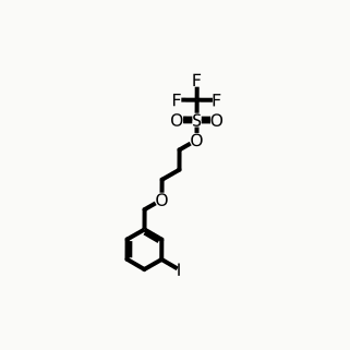 O=S(=O)(OCCCOCC1=CC(I)CC=C1)C(F)(F)F